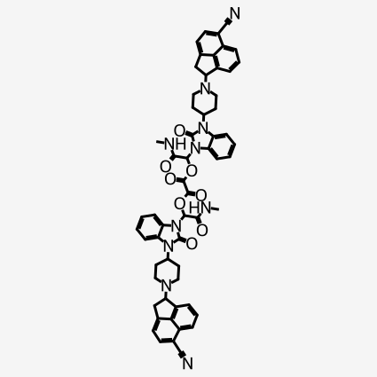 CNC(=O)C(OC(=O)C(=O)OC(C(=O)NC)n1c(=O)n(C2CCN(C3Cc4ccc(C#N)c5cccc3c45)CC2)c2ccccc21)n1c(=O)n(C2CCN(C3Cc4ccc(C#N)c5cccc3c45)CC2)c2ccccc21